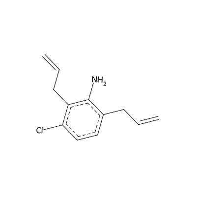 C=CCc1ccc(Cl)c(CC=C)c1N